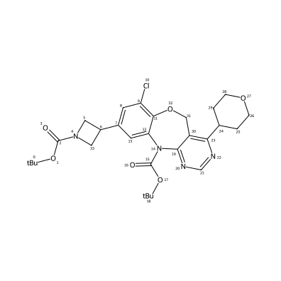 CC(C)(C)OC(=O)N1CC(c2cc(Cl)c3c(c2)N(C(=O)OC(C)(C)C)c2ncnc(C4CCOCC4)c2CO3)C1